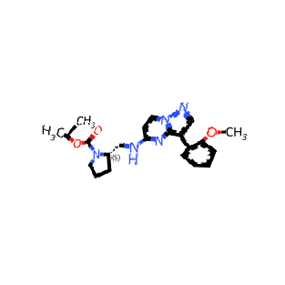 COc1ccccc1-c1cnn2ccc(NC[C@@H]3CCCN3C(=O)OC(C)C)nc12